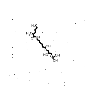 CCCCC(C)C(=O)NCCCCCC(O)OCC(O)COB(O)O